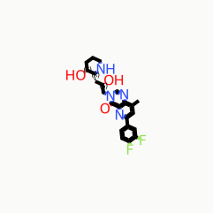 Cc1cc(-c2ccc(F)c(F)c2)nc2c(=O)n(C[C@@H](O)C[C@H]3NCCC[C@@H]3O)cnc12